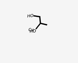 CC(O)CO.[Cu]